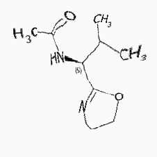 CC(=O)N[C@H](C1=NCCO1)C(C)C